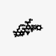 COCCCN1C(=O)C(C)(C)Oc2ccc(N(C(=O)[C@@H]3C[C@H](C(=O)NCC4(OC)CCCCC4)CN(C(=O)OC(C)(C)C)C3)C3CC3)cc21